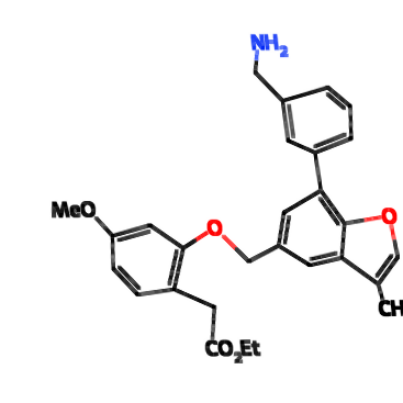 CCOC(=O)Cc1ccc(OC)cc1OCc1cc(-c2cccc(CN)c2)c2occ(C)c2c1